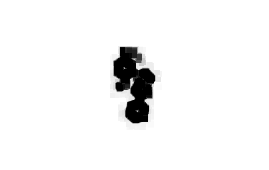 COc1ccc(N)cc1-n1ccn2nc(-c3cccnc3)cc12